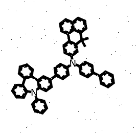 CC1(C)c2cc(N(c3ccc(-c4ccccc4)cc3)c3ccc(-c4ccc5c(c4)-c4ccccc4-c4ccccc4N5c4ccccc4)cc3)ccc2-c2cccc3cccc1c23